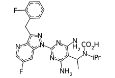 CC(C)N(C(=O)O)C(C)c1c(N)nc(-n2nc(Cc3ccccc3F)c3ncc(F)cc32)nc1N